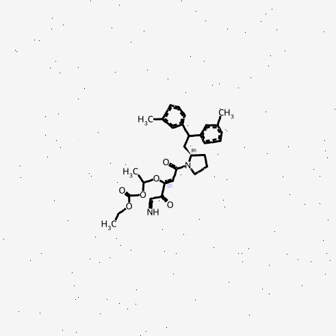 CCOC(=O)OC(C)O/C(=C\C(=O)N1CCC[C@@H]1CC(c1cccc(C)c1)c1cccc(C)c1)C(=O)C=N